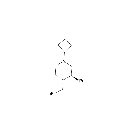 CC(C)C[C@@H]1CCN(C2CCC2)C[C@H]1C(C)C